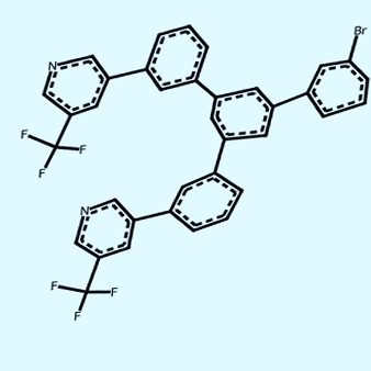 FC(F)(F)c1cncc(-c2cccc(-c3cc(-c4cccc(Br)c4)cc(-c4cccc(-c5cncc(C(F)(F)F)c5)c4)c3)c2)c1